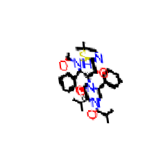 CC(=O)NC(c1ccccc1)[C@@H](C(=O)C1=NCC(C)(C)S1)N1C(=O)[C@H](C(C)C)N(C(=O)C(C)C)C=C1c1ccccc1